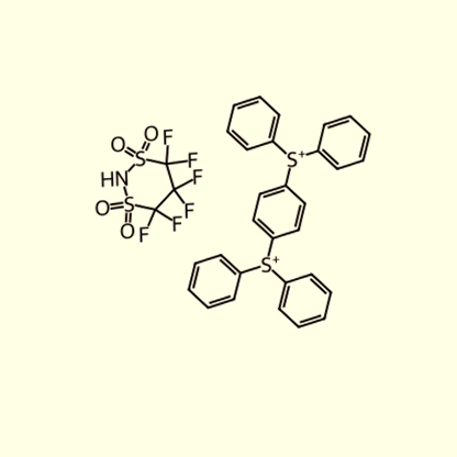 O=S1(=O)NS(=O)(=O)C(F)(F)C(F)(F)C1(F)F.c1ccc([S+](c2ccccc2)c2ccc([S+](c3ccccc3)c3ccccc3)cc2)cc1